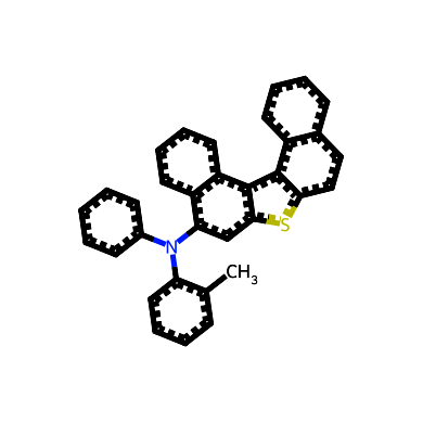 Cc1ccccc1N(c1ccccc1)c1cc2sc3ccc4ccccc4c3c2c2ccccc12